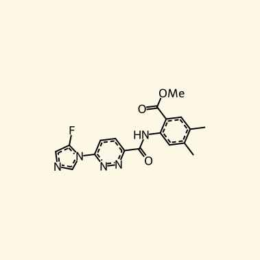 COC(=O)c1cc(C)c(C)cc1NC(=O)c1ccc(-n2cncc2F)nn1